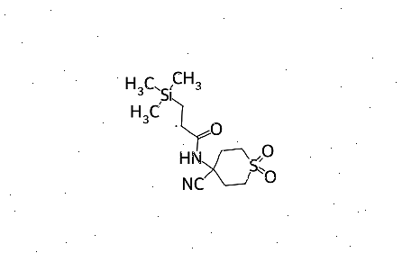 C[Si](C)(C)C[CH]C(=O)NC1(C#N)CCS(=O)(=O)CC1